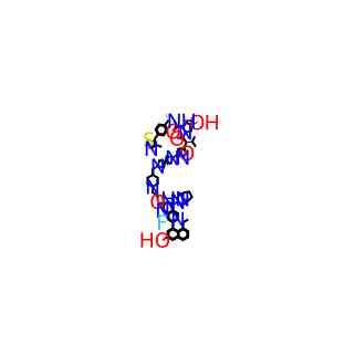 CCc1cccc2cc(O)cc(-c3ncc4c(N5CC6CCC(C5)N6)nc(OCCN5CCC(CN6CC7(C6)CN(c6cc([C@@H](C(=O)N8C[C@H](O)C[C@H]8C(=O)N[C@@H](C)c8ccc(-c9scnc9C)cc8)C(C)C)on6)C7)CC5)nc4c3F)c12